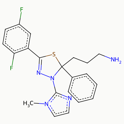 Cn1ccnc1N1N=C(c2cc(F)ccc2F)SC1(CCCN)c1ccccc1